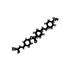 C=C(CC)CCC1CCC(OC(=O)c2ccc(CCC3CCC(CCC)CC3)cc2)CC1